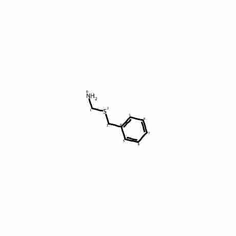 NCSCc1ccccc1